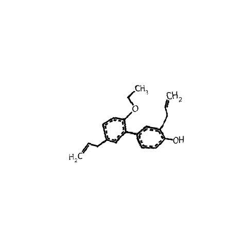 C=CCc1ccc(OCC)c(-c2ccc(O)c(CC=C)c2)c1